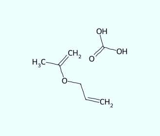 C=CCOC(=C)C.O=C(O)O